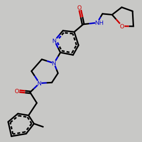 Cc1ccccc1CC(=O)N1CCN(c2ccc(C(=O)NCC3CCCO3)cn2)CC1